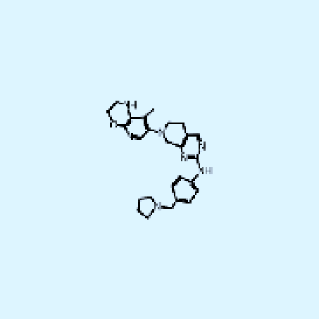 Cc1c(N2CCc3cnc(Nc4ccc(CN5CCCC5)cc4)nc3C2)cnc2c1NCCO2